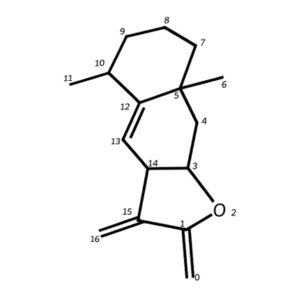 C=C1OC2CC3(C)CCCC(C)C3=CC2C1=C